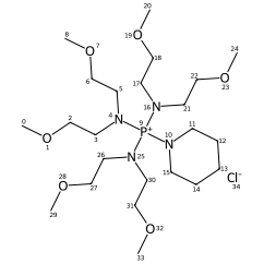 COCCN(CCOC)[P+](N1CCCCC1)(N(CCOC)CCOC)N(CCOC)CCOC.[Cl-]